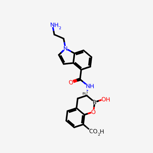 NCCn1ccc2c(C(=O)N[C@H]3Cc4cccc(C(=O)O)c4OB3O)cccc21